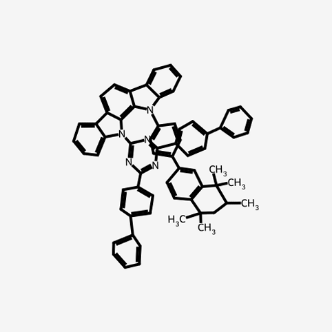 CC1CC(C)(C)c2ccc(-c3ccc(-n4c5ccccc5c5ccc6c7ccccc7n(-c7nc(-c8ccc(-c9ccccc9)cc8)nc(-c8ccc(-c9ccccc9)cc8)n7)c6c54)cc3)cc2C1(C)C